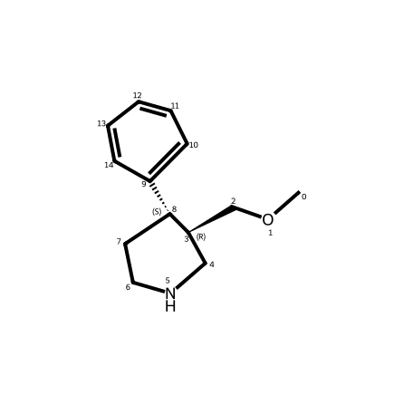 COC[C@H]1CNCC[C@@H]1c1ccccc1